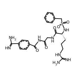 N=C(N)NCCC[C@@H](NS(=O)(=O)Cc1ccccc1)C(=O)NCC(=O)NC(=O)c1ccc(C(=N)N)cc1